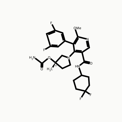 COc1ncc(C(=O)NC2CCC(F)(F)CC2)c(N2CC[C@](C)(OC(N)=O)C2)c1-c1cc(F)cc(F)c1